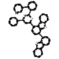 c1ccc(-c2cc(-c3ccc(-c4cccc5c4oc4ccccc45)c4oc5ccccc5c34)nc(-c3ccccc3-c3cccnc3)n2)cc1